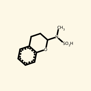 CN(C1CCc2ccccc2O1)S(=O)(=O)O